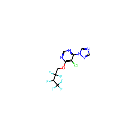 FC(C(F)(F)F)C(F)(F)COc1ncnc(-n2cncn2)c1Cl